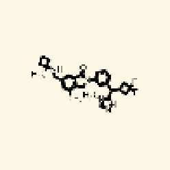 Cn1cnnc1C(c1cccc(N2Cc3c(cc(CNC4(C)CCC4)cc3C(F)(F)F)C2=O)c1)C1CC(F)(F)C1